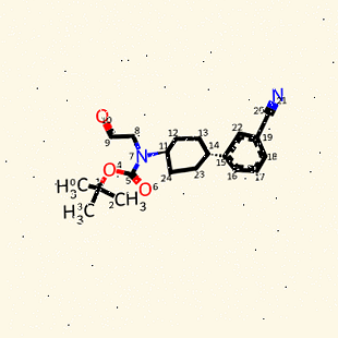 CC(C)(C)OC(=O)N(CC=O)[C@H]1CC[C@H](c2cccc(C#N)c2)CC1